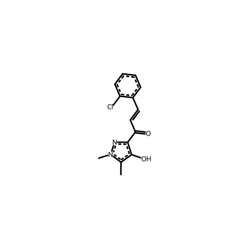 Cc1c(O)c(C(=O)C=Cc2ccccc2Cl)nn1C